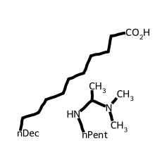 CCCCCCCCCCCCCCCCCCCC(=O)O.CCCCCNC(C)N(C)C